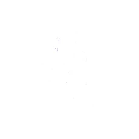 O=c1ccn2c(c1OCc1ccccc1)C(O)C1(C=N2)CCCC1